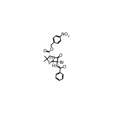 CC1(C)S[C@H]2N(C(=O)[C@@]2(Br)N=C(Cl)c2ccccc2)[C@H]1C(=O)OCc1ccc([N+](=O)[O-])cc1